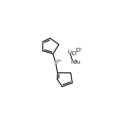 C1=CC[C]([Ti+2][C]2=CC=CC2)=C1.[Cl-].[Cl-].[Li][CH2]CCC